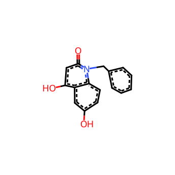 O=c1cc(O)c2cc(O)ccc2n1Cc1ccccc1